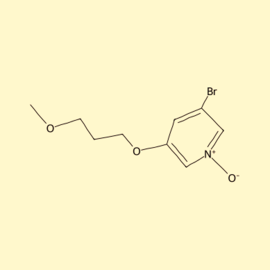 COCCCOc1cc(Br)c[n+]([O-])c1